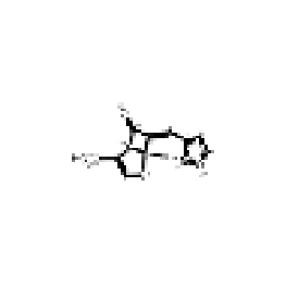 O=C(O)C1=CS[C@H]2/C(=C\c3ccon3)C(=O)N12